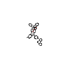 CC1C=CC(N(c2ccc(-c3ccc4ccccc4c3)cc2)c2ccc(-c3cccc4c3ccc3ccccc34)cc2)=C(c2ccc3c(c2)c2ccccc2n3-c2ccccc2)C1